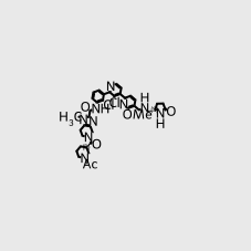 COc1nc(-c2ccnc(-c3cccc(NC(=O)c4nc5c(n4C)CCN(C(=O)[C@@H]4CCCN(C(C)=O)C4)C5)c3Cl)c2Cl)ccc1CNC[C@@H]1CCC(=O)N1